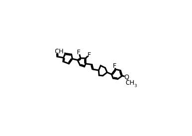 C=Cc1ccc(-c2ccc(/C=C/C3CCC(c4ccc(OC)cc4F)CC3)c(F)c2F)cc1